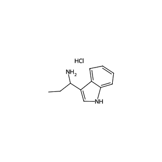 CCC(N)c1c[nH]c2ccccc12.Cl